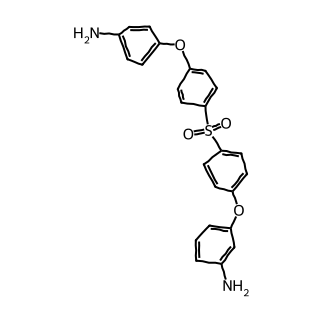 Nc1ccc(Oc2ccc(S(=O)(=O)c3ccc(Oc4cccc(N)c4)cc3)cc2)cc1